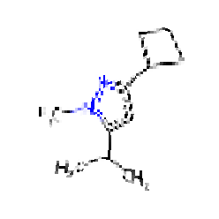 CC(C)c1cc(C2CCC2)nn1C